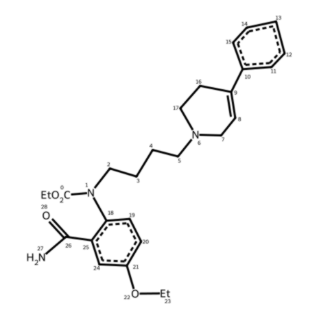 CCOC(=O)N(CCCCN1CC=C(c2ccccc2)CC1)c1ccc(OCC)cc1C(N)=O